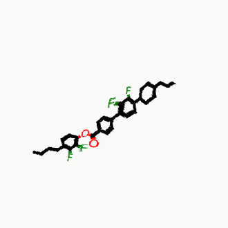 CCCCc1ccc(OC(=O)c2ccc(-c3ccc(C4CCC(CCC)CC4)c(F)c3F)cc2)c(F)c1F